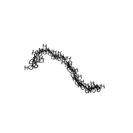 CC(=O)Nc1cn(C)c(C(=O)Nc2cn(C)c(C(=O)NCCC(=O)Nc3cn(C)c(C(=O)Nc4cn(C)c(C(=O)Nc5cc(C(=O)Nc6cn(C)c(C(=O)NCCCC(=O)Nc7cc(C(=O)Nc8cn(C)c(C(=O)NCCC(=O)Nc9cc(C(=O)Nc%10cc(C(=O)Nc%11ccc%12cc(C(=O)N%13CC(CCl)c%14c%13cc(O)c%13ccccc%14%13)[nH]c%12c%11)n(C)c%10)n(C)c9)n8)n(C)c7)n6)n(C)c5)n4)n3)n2)n1